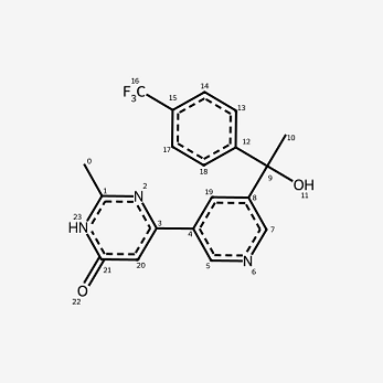 Cc1nc(-c2cncc(C(C)(O)c3ccc(C(F)(F)F)cc3)c2)cc(=O)[nH]1